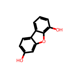 Oc1ccc2c(c1)oc1c(O)cccc12